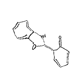 O=C1C=CC=C/C1=C1/Nc2ccccc2O1